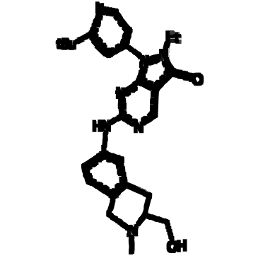 CCn1c(=O)c2cnc(Nc3ccc4c(c3)CC(CO)N(C)C4)nc2n1-c1ccnc(C(C)(C)C)c1